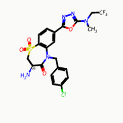 CN(CC(F)(F)F)c1nnc(-c2ccc3c(c2)N(Cc2ccc(Cl)cc2)C(=O)[C@@H](N)CS3(=O)=O)o1